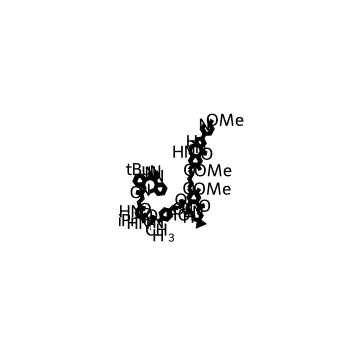 COc1ccc(C2=CN3C(=O)c4cc(OC)c(OCCCOc5cc6c(cc5OC)C(=O)N5CC7(CC7)C[C@H]5C(O)N6C(=O)OCc5ccc(NC(=O)[C@H](C)NC(=O)[C@@H](NC(=O)CCC(=O)N6Cc7ccccc7-c7nnn(C(C)(C)C)c7-c7ccccc76)C(C)C)cc5)cc4NC[C@@H]3C2)cn1